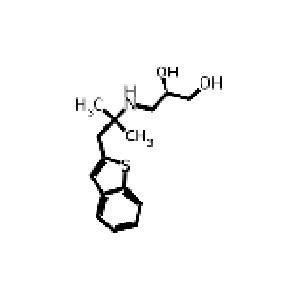 CC(C)(Cc1cc2ccccc2s1)NC[C@@H](O)CO